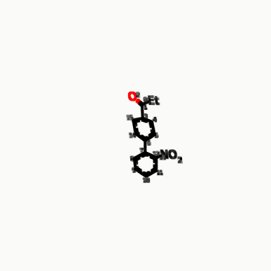 CCC(=O)c1ccc(-c2ccccc2[N+](=O)[O-])cc1